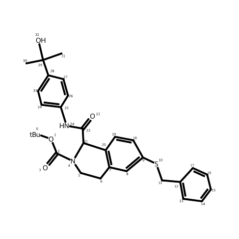 CC(C)(C)OC(=O)N1CCc2cc(SCc3ccccc3)ccc2C1C(=O)Nc1ccc(C(C)(C)O)cc1